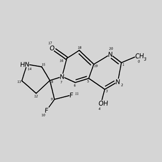 Cc1nc(O)c2cn(C3(C(F)F)CCNC3)c(=O)cc2n1